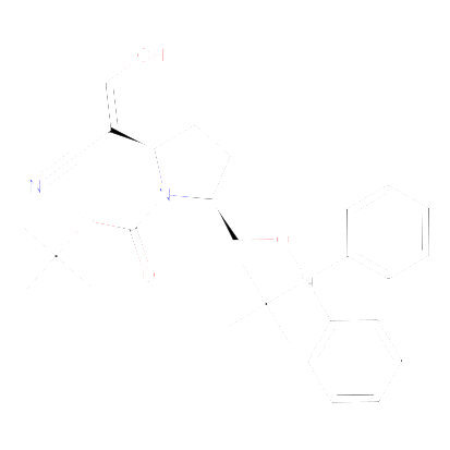 CC(C)(C)OC(=O)N1[C@H](CO[Si](c2ccccc2)(c2ccccc2)C(C)(C)C)CC[C@@H]1/C(C#N)=C\O